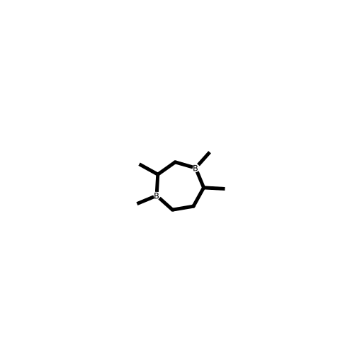 CB1CC(C)B(C)CCC1C